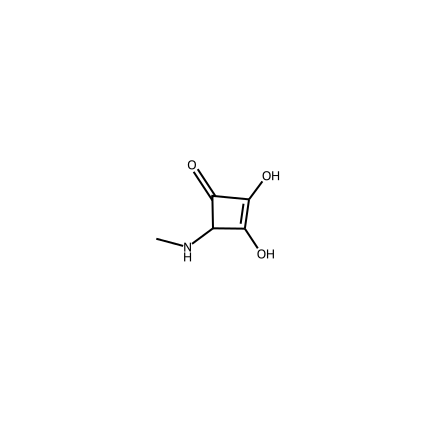 CNC1C(=O)C(O)=C1O